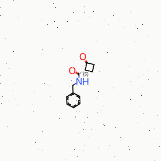 O=C1CC[C@@H]1C(=O)NCc1ccccc1